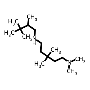 CC(CNCCC(C)(C)CCN(C)C)C(C)(C)C